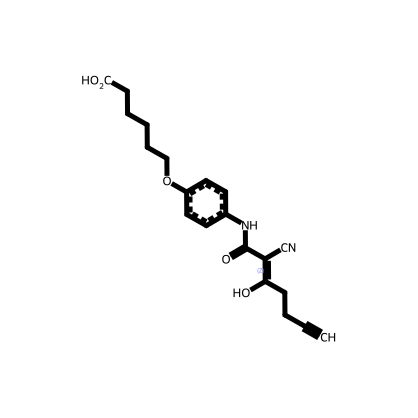 C#CCC/C(O)=C(\C#N)C(=O)Nc1ccc(OCCCCCC(=O)O)cc1